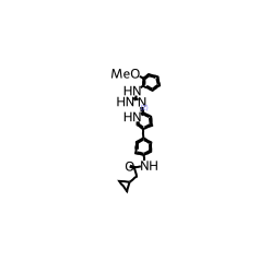 COc1ccccc1NC(=N)/N=c1/ccc(-c2ccc(NC(=O)CC3CC3)cc2)c[nH]1